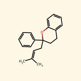 CC(C)=CCC1(c2ccccc2)CCc2ccccc2O1